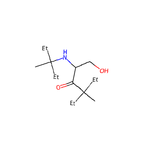 CCC(C)(CC)NC(CO)C(=O)C(C)(CC)CC